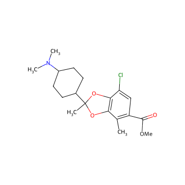 COC(=O)c1cc(Cl)c2c(c1C)OC(C)(C1CCC(N(C)C)CC1)O2